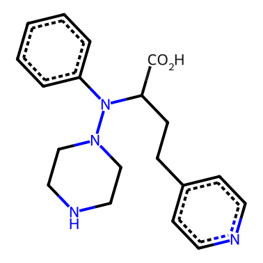 O=C(O)C(CCc1ccncc1)N(c1ccccc1)N1CCNCC1